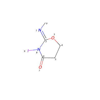 C/N=C1\OCCC(=O)N1I